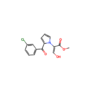 COC(=O)C(=CO)n1cccc1C(=O)c1cccc(Cl)c1